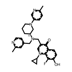 Cc1ccc(N2CCC[C@H](N(Cc3ccnc(C)c3)Cc3cn(C4CC4)c4c(F)c(O)ccc4c3=O)C2)cn1